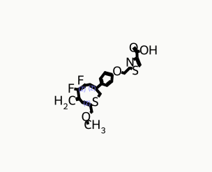 C=C1/C=C(/COC)SC/C(c2ccc(OCc3nc(C(=O)O)cs3)cc2)=C\C(F)=C/1F